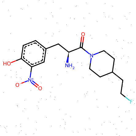 N[C@@H](Cc1ccc(O)c([N+](=O)[O-])c1)C(=O)N1CCC(CCF)CC1